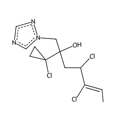 CC=C(Cl)C(Cl)CC(O)(Cn1cncn1)C1(Cl)CC1